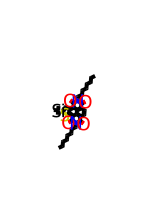 CCCCCCCCN1C(=O)c2ccc3c4c(c5sc([Si](C)(C)C)cc5c(c24)C1=O)C(=O)N(CCCCCCCC)C3=O